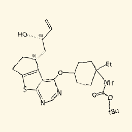 C=C[C@@H](O)C[C@H]1CCc2sc3ncnc(OC4CCC(CC)(NC(=O)OC(C)(C)C)CC4)c3c21